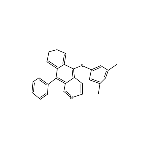 Cc1cc(C)cc(Sc2c3c(c(-c4ccccc4)c4cnccc24)=CCCC=3)c1